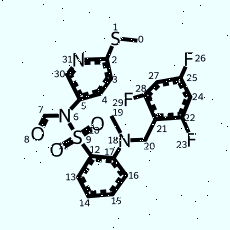 CSc1ccc(N(C=O)S(=O)(=O)c2ccccc2N(C)Cc2c(F)cc(F)cc2F)cn1